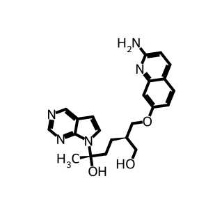 C[C@](O)(CC[C@H](CO)COc1ccc2ccc(N)nc2c1)n1ccc2cncnc21